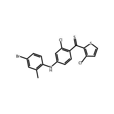 Cc1cc(Br)ccc1Nc1ccc(C(=S)c2sccc2Cl)c(Cl)c1